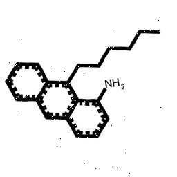 CCCCCCc1c2ccccc2cc2cccc(N)c12